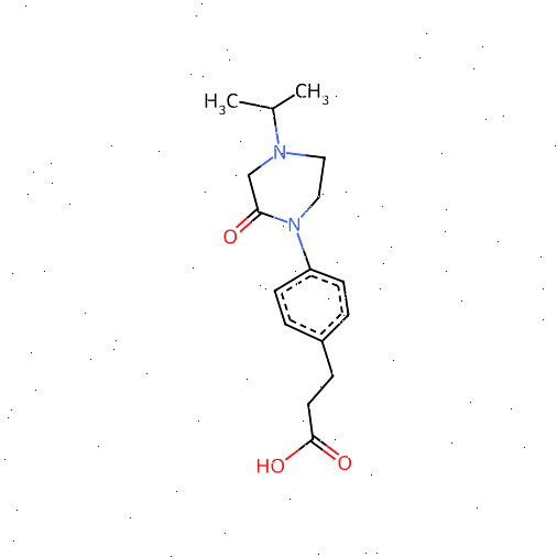 CC(C)N1CCN(c2ccc(CCC(=O)O)cc2)C(=O)C1